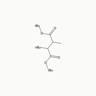 CCCCC(C(=O)OC(C)(C)C)C(C)C(=O)OC(C)(C)C